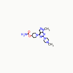 CN1CCN(c2nc(N3CCC(OC(N)=O)CC3)c3cnn(C)c3n2)CC1